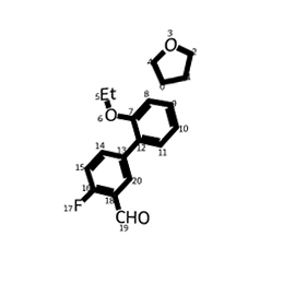 C1CCOC1.CCOc1ccccc1-c1ccc(F)c(C=O)c1